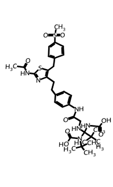 CC(=O)Nc1nc(CCc2ccc(NC(=O)CNC(NC(=O)O)(N(C(=O)O)C(C)(C)C)C(C)(C)C)cc2)c(Cc2ccc(S(C)(=O)=O)cc2)s1